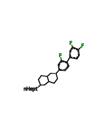 CCCCCCCC1CCC2CC(c3ccc(-c4ccc(F)c(F)c4)c(F)c3)CCC2C1